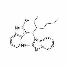 CCCCC(CC)C(n1c(S)nc2ccccc21)n1c(S)nc2ccccc21